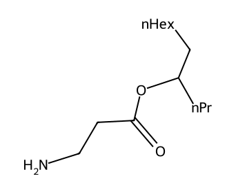 CCCCCCCC(CCC)OC(=O)CCN